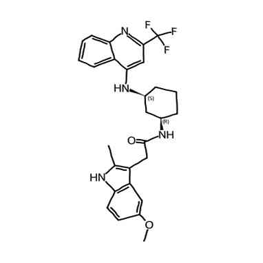 COc1ccc2[nH]c(C)c(CC(=O)N[C@@H]3CCC[C@H](Nc4cc(C(F)(F)F)nc5ccccc45)C3)c2c1